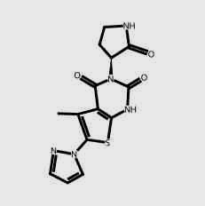 Cc1c(-n2cccn2)sc2[nH]c(=O)n([C@H]3CCNC3=O)c(=O)c12